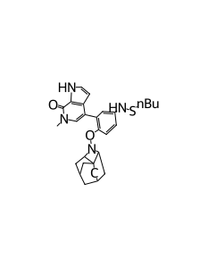 CCCCSNc1ccc(ON2C3CC4CC5CC2C3(C4)C5)c(-c2cn(C)c(=O)c3[nH]ccc23)c1